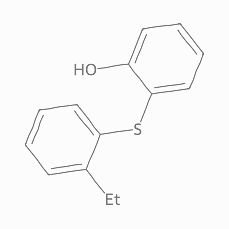 CCc1ccccc1Sc1ccccc1O